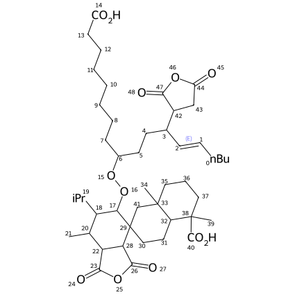 CCCC/C=C/C(CCC(CCCCCCCC(=O)O)OOC1C(C(C)C)C(C)C2C(=O)OC(=O)C2C12CCC1C(C)(CCCC1(C)C(=O)O)C2)C1CC(=O)OC1=O